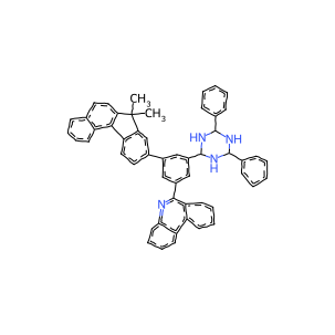 CC1(C)c2cc(-c3cc(-c4nc5ccccc5c5ccccc45)cc(C4NC(c5ccccc5)NC(c5ccccc5)N4)c3)ccc2-c2c1ccc1ccccc21